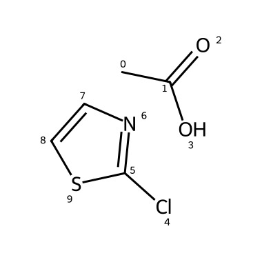 CC(=O)O.Clc1nccs1